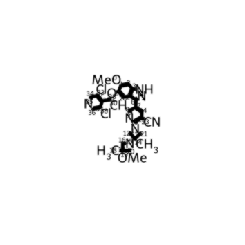 COc1cc2[nH]nc(-c3cnc(N4CC(C)(N5CC(C)(OC)C5)C4)c(C#N)c3)c2cc1O[C@H](C)c1c(Cl)cncc1Cl